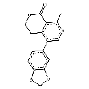 Cc1ncc(-c2ccc3c(c2)OCO3)c2c1C(=O)OCC2